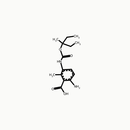 CCC(C)(CC)OC(=O)Nc1ccc(N)c(C(=O)O)c1C